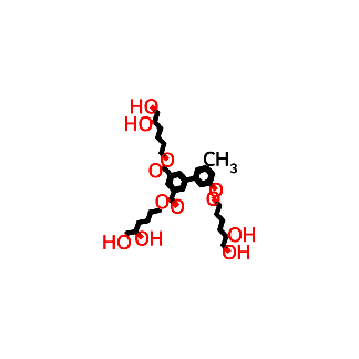 Cc1cc(OOCCCCC(O)CO)cc(-c2cc(C(=O)OCCCCC(O)CO)cc(C(=O)OCCCCC(O)CO)c2)c1